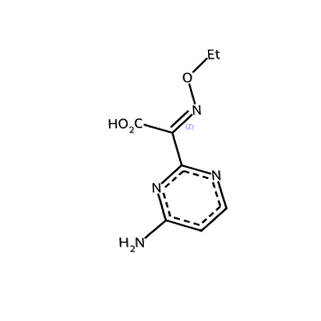 CCO/N=C(\C(=O)O)c1nccc(N)n1